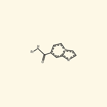 CCNC(=O)c1ccn2ccnc2c1